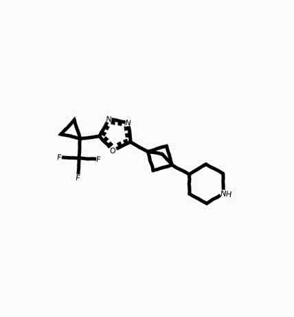 FC(F)(F)C1(c2nnc(C34CC(C5CCNCC5)(C3)C4)o2)CC1